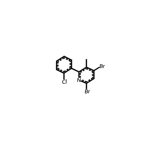 Cc1c(Br)cc(Br)nc1-c1ccccc1Cl